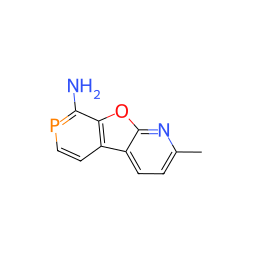 Cc1ccc2c(n1)oc1c(N)pccc12